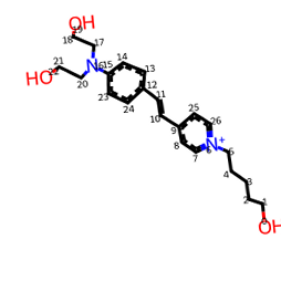 OCCCCC[n+]1ccc(/C=C/c2ccc(N(CCO)CCO)cc2)cc1